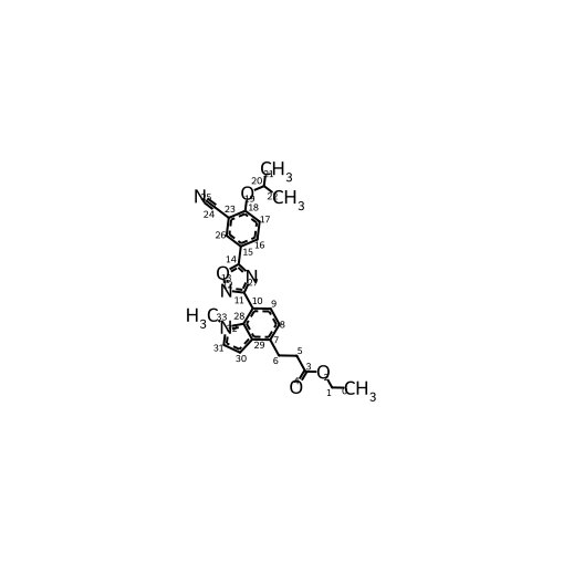 CCOC(=O)CCc1ccc(-c2noc(-c3ccc(OC(C)C)c(C#N)c3)n2)c2c1ccn2C